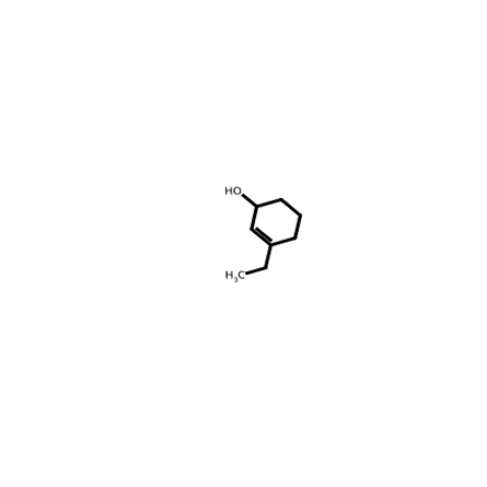 CCC1=CC(O)CCC1